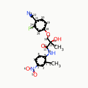 Cc1cc([N+](=O)[O-])ccc1NC(=O)C(C)(O)COc1ccc(C#N)c(F)c1